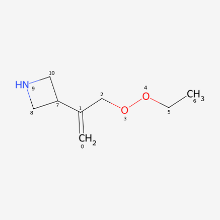 C=C(COOCC)C1CNC1